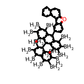 Bc1c(B)c(B)c2c(-c3c4c(B)c(B)c(B)c(B)c4c(-c4ccc5oc6ccc7ccccc7c6c5c4)c4c(B)c(B)c(B)c(B)c34)c(B)c(B)c(B)c2c1B